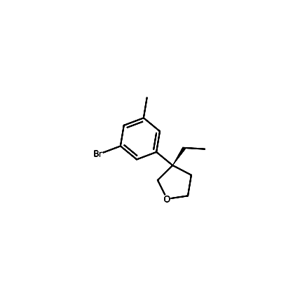 CC[C@@]1(c2cc(C)cc(Br)c2)CCOC1